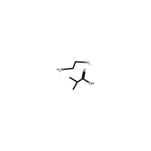 CC(C)C(=O)O.NCCN